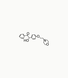 O=C(c1ccccc1)C(O)c1ccc(OCCN2CCOCC2)cc1